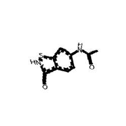 CC(=O)Nc1ccc2c(=O)[nH]sc2c1